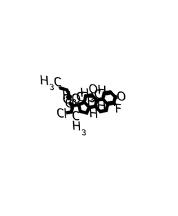 CCCC(=O)O[C@]1(C(=O)CCl)[C@H](C)C[C@H]2[C@@H]3CCC4=C(F)C(=O)C=C[C@]4(C)[C@@]3(F)[C@@H](O)C[C@@]21C